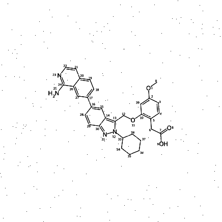 COc1ccc(CC(=O)O)c(OCc2c3cc(-c4ccc5ccnc(N)c5c4)ccc3nn2C2CCCCC2)c1